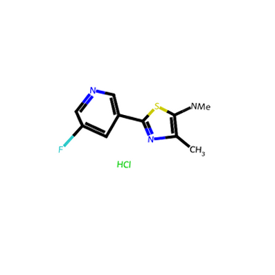 CNc1sc(-c2cncc(F)c2)nc1C.Cl